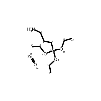 CCO[Si](CCCN)(OCC)OCC.[O]=[Zn]